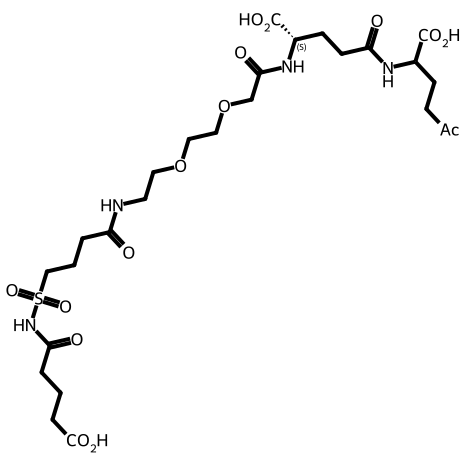 CC(=O)CCC(NC(=O)CC[C@H](NC(=O)COCCOCCNC(=O)CCCS(=O)(=O)NC(=O)CCCC(=O)O)C(=O)O)C(=O)O